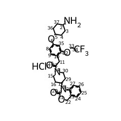 Cl.NC1CCC(Oc2ccc(CC(=O)N3CCC(N4C(=O)OCc5ccccc54)CC3)c(OCC(F)(F)F)c2)CC1